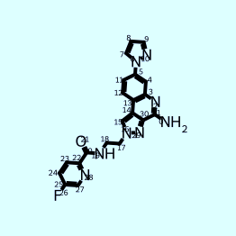 Nc1nc2cc(-n3cccn3)ccc2c2cn(CCNC(=O)c3ccc(F)cn3)nc12